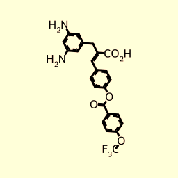 Nc1cc(N)cc(CC(=Cc2ccc(OC(=O)c3ccc(OC(F)(F)F)cc3)cc2)C(=O)O)c1